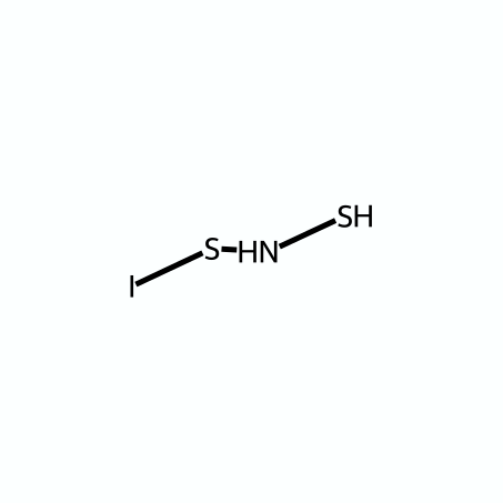 SNSI